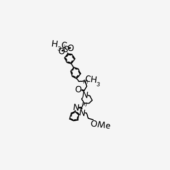 COCCCn1c([C@@H]2CCCN(C(=O)C[C@H](C)Cc3ccc(-c4ccc(S(C)(=O)=O)cc4)cc3)C2)nc2ccccc21